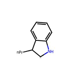 CCCC1[C]Nc2ccccc21